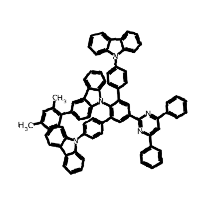 Cc1ccc(-c2ccc3c(c2)c2ccccc2n3-c2c(-c3ccc(-n4c5ccccc5c5ccccc54)cc3)cc(-c3nc(-c4ccccc4)cc(-c4ccccc4)n3)cc2-c2ccc(-n3c4ccccc4c4ccccc43)cc2)c(C)c1